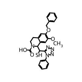 COc1cc2c(cc1OCc1ccccc1)CCN(C(=O)O)C2C(S)c1nnnn1-c1ccccc1